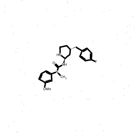 COc1cccc(N(C)C(=O)N[C@@H]2C[C@@H](Cc3ccc(F)cc3)CCN2)c1